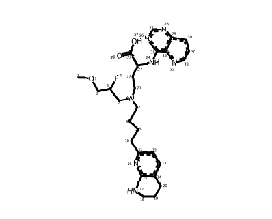 COCC(F)CN(CCCCc1ccc2c(n1)NCCC2)CCC(Nc1ncnc2cccnc12)C(=O)O